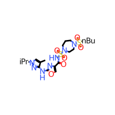 CCCCS(=O)(=O)N1CCCN(S(=O)(=O)NC(=O)c2coc(Nc3nn(C(C)C)cc3C)n2)CC1